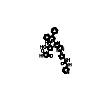 O=C(Nc1cccnc1)N[C@@H]1CCN(c2ncc3nc(NCC(c4ccccc4)c4ccccc4)n([C@@H]4C[C@H](N5C(=O)CNC5=O)[C@@H](O)[C@H]4O)c3n2)C1